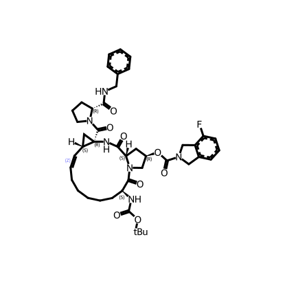 CC(C)(C)OC(=O)N[C@H]1CCCCC/C=C\[C@@H]2C[C@@]2(C(=O)N2CCC[C@@H]2C(=O)NCc2ccccc2)NC(=O)[C@@H]2C[C@@H](OC(=O)N3Cc4cccc(F)c4C3)CN2C1=O